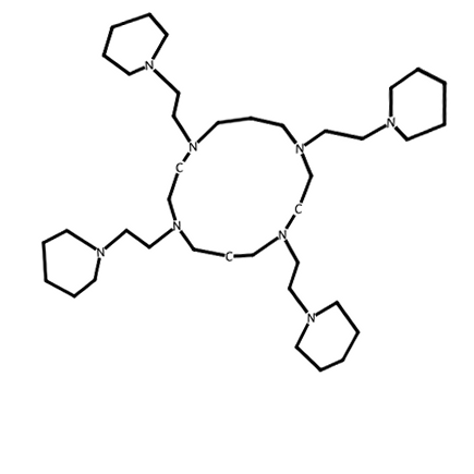 C1CCN(CCN2CCCN(CCN3CCCCC3)CCN(CCN3CCCCC3)CCCN(CCN3CCCCC3)CC2)CC1